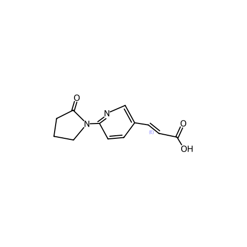 O=C(O)/C=C/c1ccc(N2CCCC2=O)nc1